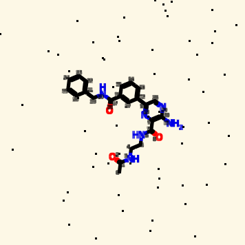 CC(=O)NCCNC(=O)c1nc(-c2cccc(C(=O)NCc3ccccc3)c2)cnc1N